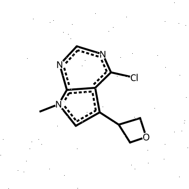 Cn1cc(C2COC2)c2c(Cl)ncnc21